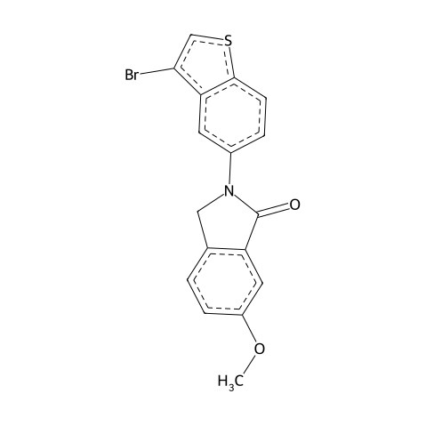 COc1ccc2c(c1)C(=O)N(c1ccc3scc(Br)c3c1)C2